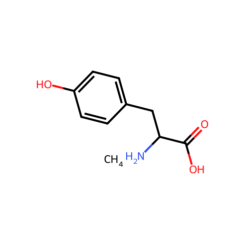 C.NC(Cc1ccc(O)cc1)C(=O)O